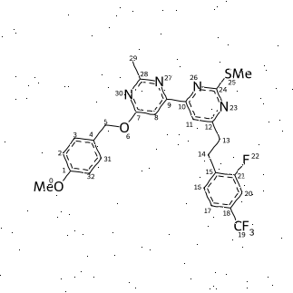 COc1ccc(COc2cc(-c3cc(CCc4ccc(C(F)(F)F)cc4F)nc(SC)n3)nc(C)n2)cc1